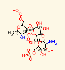 CC1O[C@@H](O[C@@H]2C(COOO)O[C@@H](C)C(N)[C@H]2OOO)C(O)[C@@H](O)[C@@H]1O[C@@H]1OC(COS(=O)(=O)O)[C@@H](O)[C@H](O)C1N